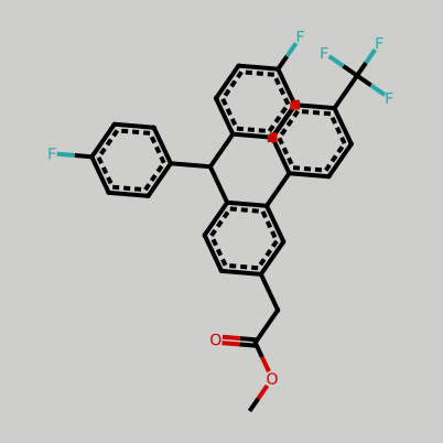 COC(=O)Cc1ccc(C(c2ccc(F)cc2)c2ccc(F)cc2)c(-c2ccc(C(F)(F)F)cc2)c1